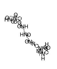 Cc1cnc(Nc2ccc(N3CCN(C(=O)CCC(=O)NCCCCNC(=O)COc4cccc5c4C(=O)N(C4CCC(=O)NC4=O)C5=O)CC3)cc2)nc1Nc1cccc([SH](=O)=O)c1